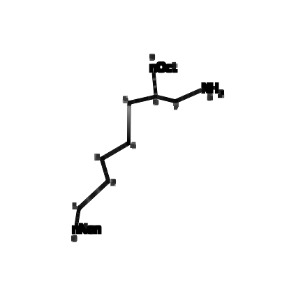 CCCCCCCCCCCCCCC(CN)CCCCCCCC